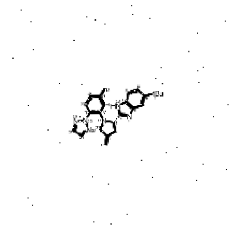 C=C1C[C@@H](c2nc3cc(C(C)(C)C)ccc3[nH]2)N(c2cc(C)c[c]c2-n2nccn2)C1